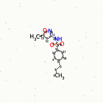 CCCc1ccc(S(=O)(=O)Nc2cc(C)on2)cc1